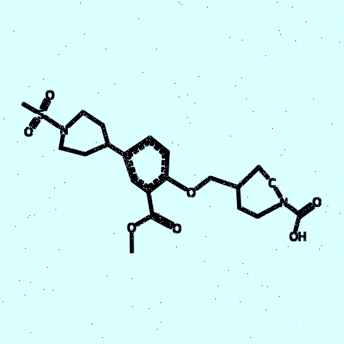 COC(=O)c1cc(C2CCN(S(C)(=O)=O)CC2)ccc1OCC1CCN(C(=O)O)CC1